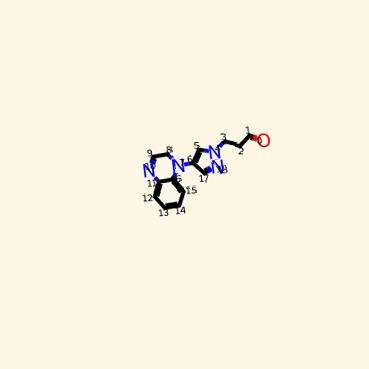 O=CCCn1cc(N2CC=Nc3ccccc32)cn1